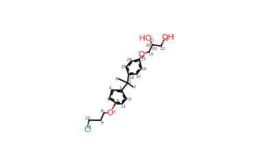 CC(C)(c1ccc(OCCCCl)cc1)c1ccc(OC[C@@H](O)CO)cc1